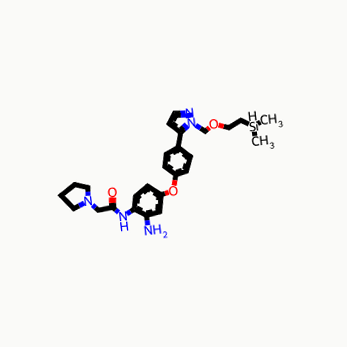 C[SiH](C)CCOCn1nccc1-c1ccc(Oc2ccc(NC(=O)CN3CCCC3)c(N)c2)cc1